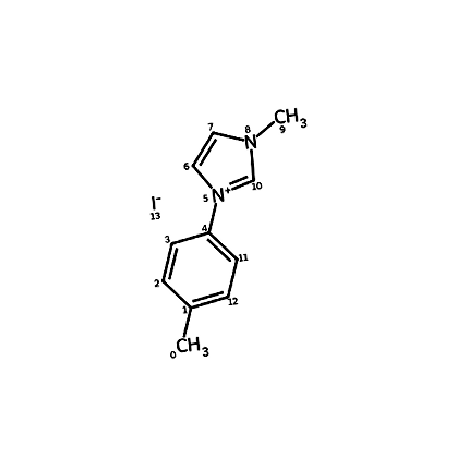 Cc1ccc(-[n+]2ccn(C)c2)cc1.[I-]